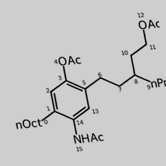 CCCCCCCCc1cc(OC(C)=O)c(CCC(CCC)CCOC(C)=O)cc1NC(C)=O